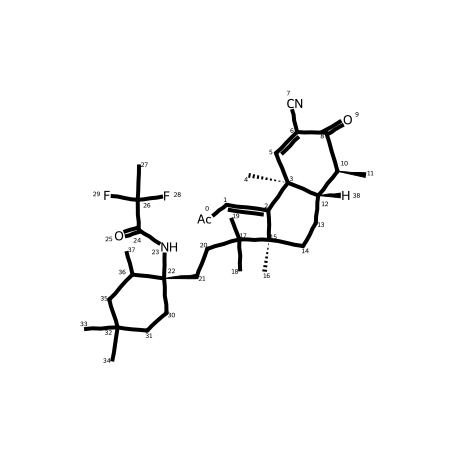 CC(=O)/C=C1/[C@@]2(C)C=C(C#N)C(=O)[C@@H](C)[C@@H]2CC[C@@]1(C)C(C)(C)CC[C@@]1(NC(=O)C(C)(F)F)CCC(C)(C)CC1C